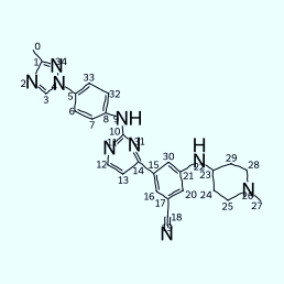 Cc1ncn(-c2ccc(Nc3nccc(-c4cc(C#N)cc(NC5CCN(C)CC5)c4)n3)cc2)n1